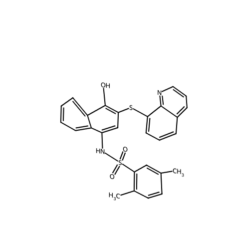 Cc1ccc(C)c(S(=O)(=O)Nc2cc(Sc3cccc4cccnc34)c(O)c3ccccc23)c1